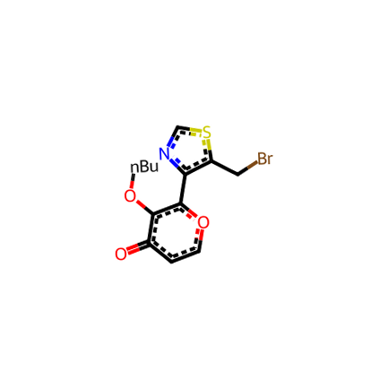 CCCCOc1c(-c2ncsc2CBr)occc1=O